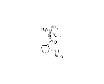 CC(C)(C)OC(=O)N1CCCC1NC=O